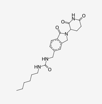 CCCCCCNC(=O)NCc1ccc2c(c1)CN(C1CCC(=O)NC1=O)C2=O